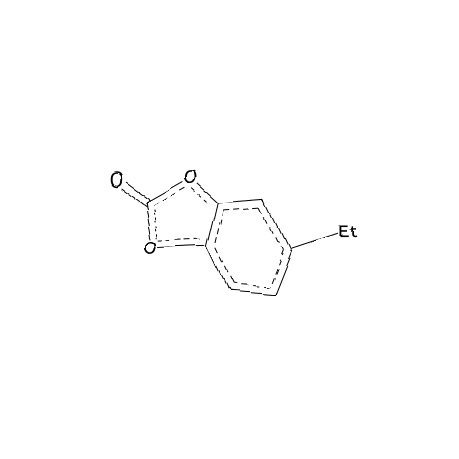 CCc1ccc2oc(=O)oc2c1